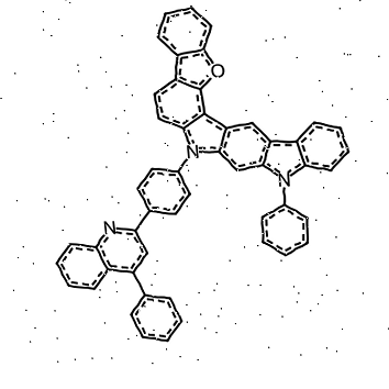 c1ccc(-c2cc(-c3ccc(-n4c5cc6c(cc5c5c7oc8ccccc8c7ccc54)c4ccccc4n6-c4ccccc4)cc3)nc3ccccc23)cc1